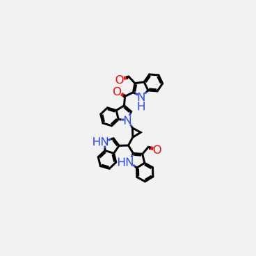 O=Cc1c(C(=O)c2cn(C3CC3C(c3[nH]c4ccccc4c3C=O)c3c[nH]c4ccccc34)c3ccccc23)[nH]c2ccccc12